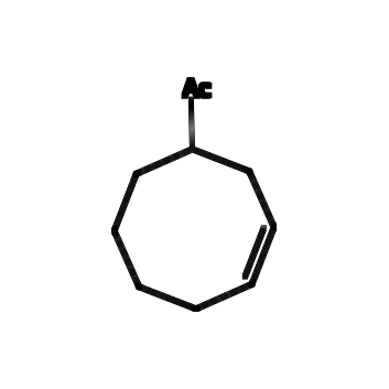 CC(=O)C1CC=CCCCC1